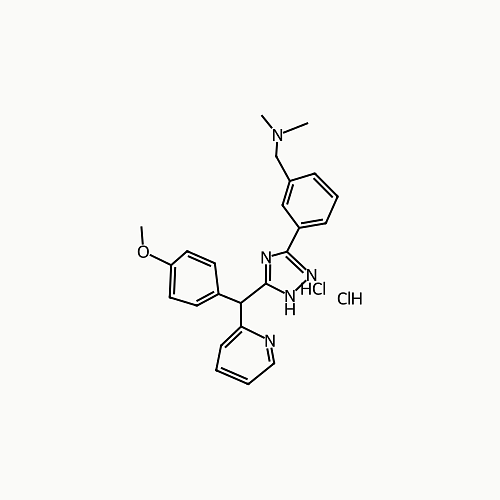 COc1ccc(C(c2ccccn2)c2nc(-c3cccc(CN(C)C)c3)n[nH]2)cc1.Cl.Cl